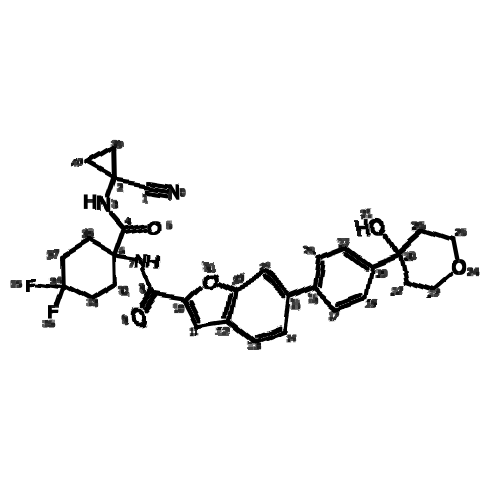 N#CC1(NC(=O)C2(NC(=O)c3cc4ccc(-c5ccc(C6(O)CCOCC6)cc5)cc4o3)CCC(F)(F)CC2)CC1